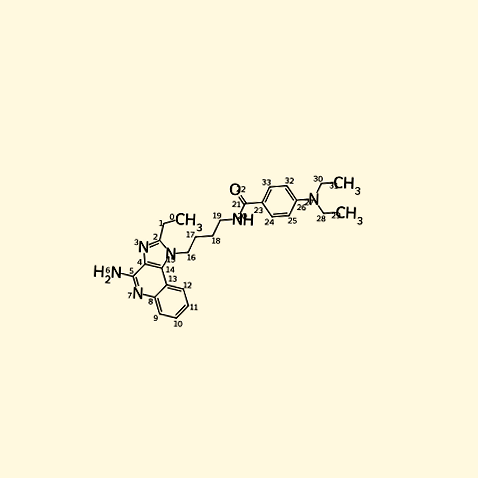 CCc1nc2c(N)nc3ccccc3c2n1CCCCNC(=O)c1ccc(N(CC)CC)cc1